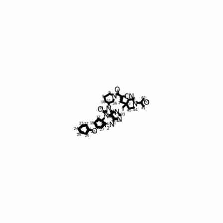 CC1(C=C(C#N)C(=O)N2CCCC(n3c(=O)n(-c4ccc(Oc5ccccc5)cc4)c4c(N)ncnc43)C2)CCN(C2COC2)CC1